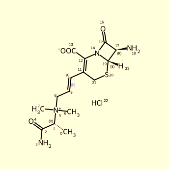 C[C@H](C(N)=O)[N+](C)(C)C/C=C/C1=C(C(=O)[O-])N2C(=O)[C@@H](N)[C@@H]2SC1.Cl